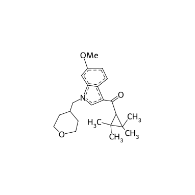 COc1ccc2c(C(=O)C3C(C)(C)C3(C)C)cn(CC3CCOCC3)c2c1